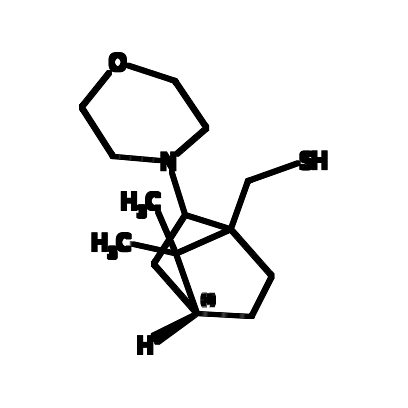 CC1(C)[C@@H]2CCC1(CS)C(N1CCOCC1)C2